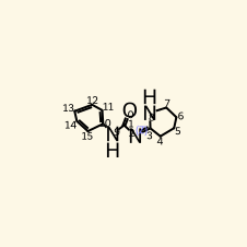 O=C(/N=C1/CCCCN1)Nc1ccccc1